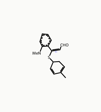 CNc1ccccc1/C(=C\C=O)SC1C=CC(C)=CC1